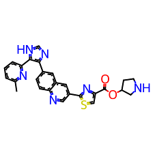 Cc1cccc(-c2[nH]cnc2-c2ccc3ncc(-c4nc(C(=O)OC5CCNC5)cs4)cc3c2)n1